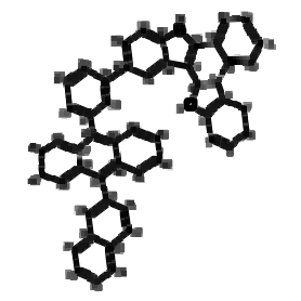 C1=Cc2oc3c(c2CC1)c1ccccc1c1oc2ccc(-c4cccc(-c5c6c(c(-c7ccc8ccccc8c7)c7ccccc57)=CCCC=6)c4)cc2c13